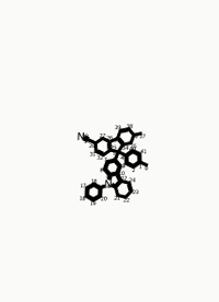 Cc1ccc(C2(c3ccc4c(c3)c3c(n4-c4ccccc4)CCC=C3)C3=C(CC(C#N)C=C3)C3=C2CC(C)C=C3)cc1